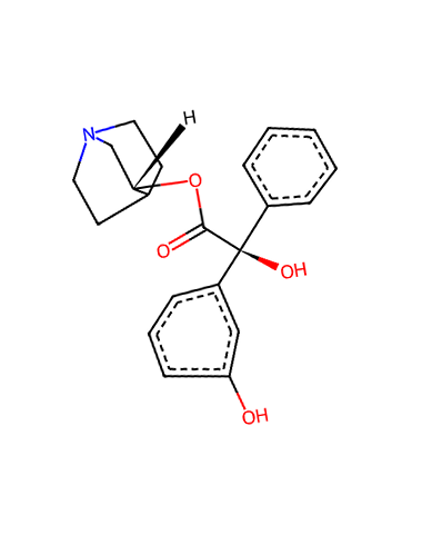 O=C(O[C@H]1CN2CCC1CC2)[C@](O)(c1ccccc1)c1cccc(O)c1